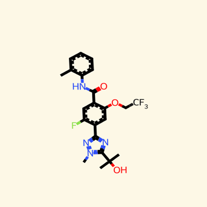 Cc1ccccc1NC(=O)c1cc(F)c(-c2nc(C(C)(C)O)n(C)n2)cc1OCC(F)(F)F